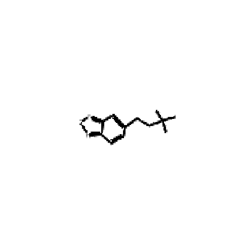 CC(C)(C)CCc1ccc2nsnc2c1